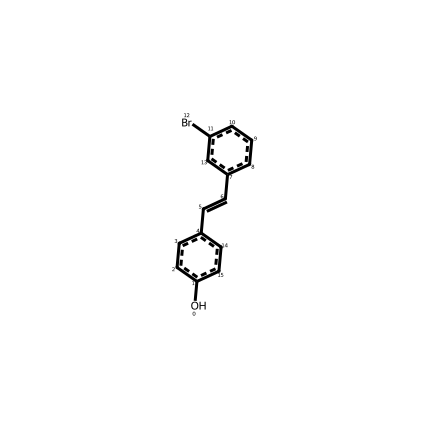 Oc1ccc(C=Cc2cccc(Br)c2)cc1